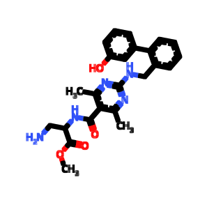 COC(=O)C(CN)NC(=O)c1c(C)nc(NCc2ccccc2-c2cccc(O)c2)nc1C